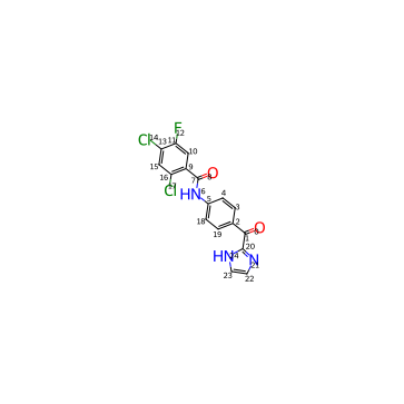 O=C(c1ccc(NC(=O)c2cc(F)c(Cl)cc2Cl)cc1)c1ncc[nH]1